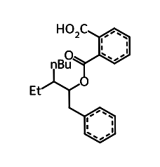 CCCCC(CC)C(Cc1ccccc1)OC(=O)c1ccccc1C(=O)O